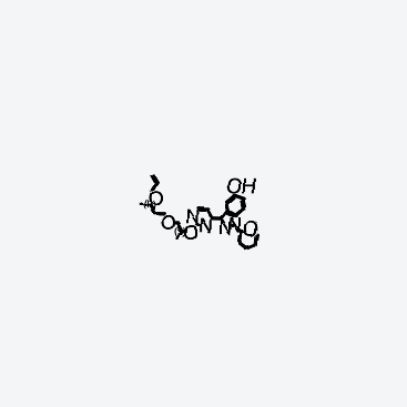 C=CCO[C@H](C)CCOC[C@H](C)Oc1nccc(-c2nn(C3CCCCO3)c3ccc(O)cc23)n1